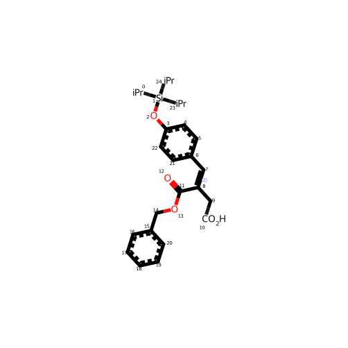 CC(C)[Si](Oc1ccc(/C=C(/CC(=O)O)C(=O)OCc2ccccc2)cc1)(C(C)C)C(C)C